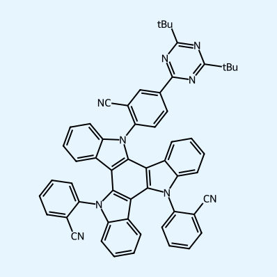 CC(C)(C)c1nc(-c2ccc(-n3c4ccccc4c4c5c(c6ccccc6n5-c5ccccc5C#N)c5c(c6ccccc6n5-c5ccccc5C#N)c43)c(C#N)c2)nc(C(C)(C)C)n1